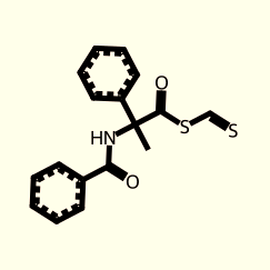 CC(NC(=O)c1ccccc1)(C(=O)SC=S)c1ccccc1